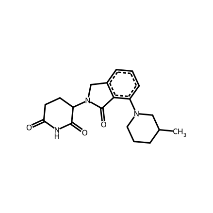 CC1CCCN(c2cccc3c2C(=O)N(C2CCC(=O)NC2=O)C3)C1